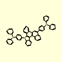 c1ccc(N(c2ccccc2)c2ccc(-c3cc4c5ccccc5c5c(c6ccccc6n5-c5ccc(N(c6ccccc6)c6ccccc6)cc5)c4c4ccccc34)cc2)cc1